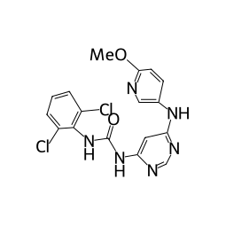 COc1ccc(Nc2cc(NC(=O)Nc3c(Cl)cccc3Cl)ncn2)cn1